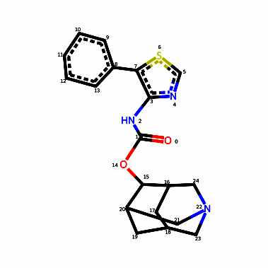 O=C(Nc1ncsc1-c1ccccc1)OC1C2CC3CC1CN(C3)C2